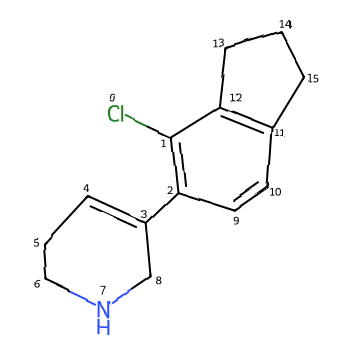 Clc1c(C2=CCCNC2)ccc2c1CCC2